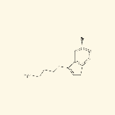 CCCCCC1=CCc2ccc(Br)cc21